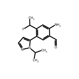 CC(F)c1cc(N)c(C=O)cc1-c1ccnn1C(C)C